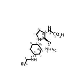 CC(=O)N[C@@H]1C[C@H](NCC(C)C)CC[C@@H]1N1CC[C@H](NC(=O)O)C1=O